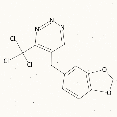 ClC(Cl)(Cl)c1nnncc1Cc1ccc2c(c1)OCO2